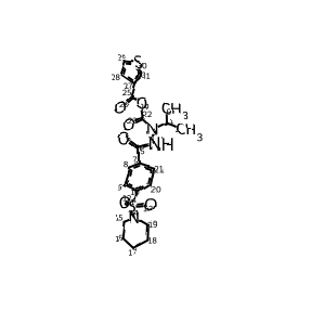 CC(C)N(NC(=O)c1ccc(S(=O)(=O)N2CCCCC2)cc1)C(=O)OC(=O)c1ccsc1